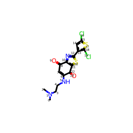 CN(C)CCNC1=CC(=O)c2nc(-c3cc(Cl)sc3Cl)sc2C1=O